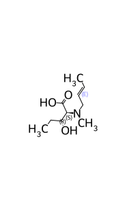 C/C=C/CN(C)[C@H](C(=O)O)[C@H](O)CC